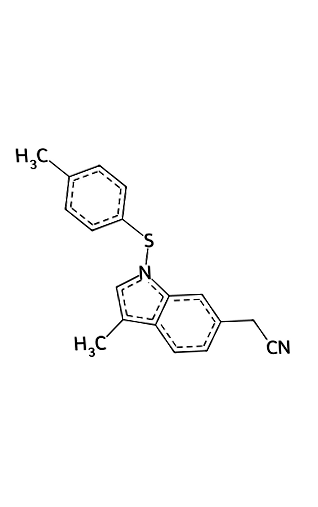 Cc1ccc(Sn2cc(C)c3ccc(CC#N)cc32)cc1